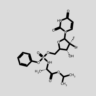 CC(C)OC(=O)[C@H](C)NP(=O)(OCC1OC(n2ccc(=O)[nH]c2=O)[C@@](F)(Br)[C@@H]1O)Oc1ccccc1